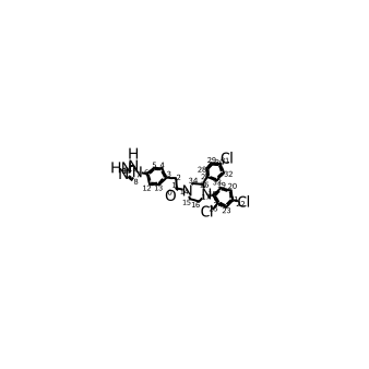 O=C(Cc1ccc(N2C=NNN2)cc1)N1CCN(c2ccc(Cl)cc2Cl)C(c2ccc(Cl)cc2)C1